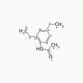 CC(=O)O.CCc1cccc(CC)c1